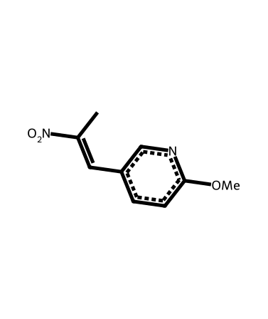 COc1ccc(C=C(C)[N+](=O)[O-])cn1